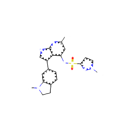 Cc1cc(NS(=O)(=O)c2ccn(C)n2)c2c(-c3ccc4c(c3)N(C)CC4)c[nH]c2n1